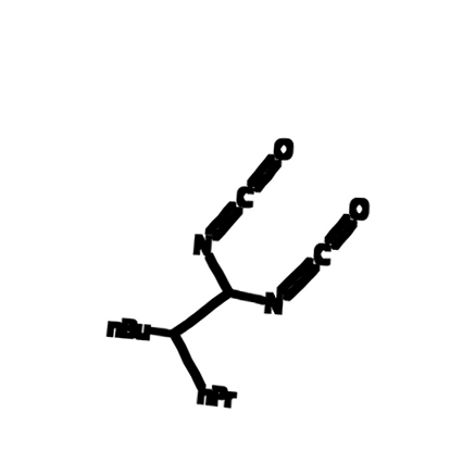 CCCCC(CCC)C(N=C=O)N=C=O